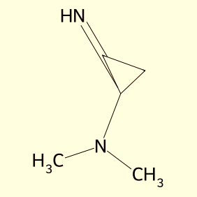 CN(C)C1CC1=N